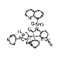 CCOc1ccccc1C1(N2C[C@@H]3C[C@H]2CN3c2ccncc2)C(=O)N(S(=O)(=O)c2cccc3cccnc23)c2ccc(C#N)cc21